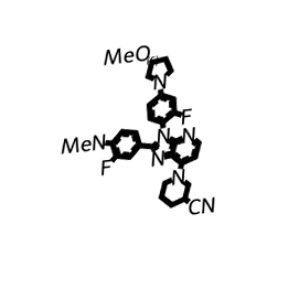 CNc1ccc(-c2nc3c(N4CCCC(C#N)C4)ccnc3n2-c2ccc(N3CC[C@H](OC)C3)cc2F)cc1F